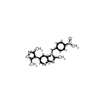 Cc1noc(C)c1-c1cnc2nc(C)n(Cc3ccc([S+](C)[O-])cc3)c2c1